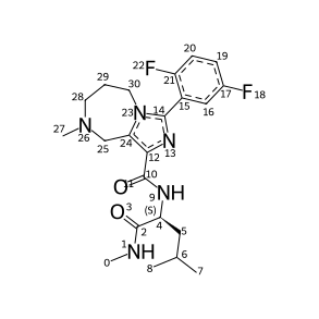 CNC(=O)[C@H](CC(C)C)NC(=O)c1nc(-c2cc(F)ccc2F)n2c1CN(C)CCC2